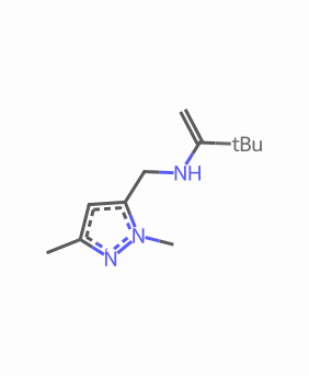 C=C(NCc1cc(C)nn1C)C(C)(C)C